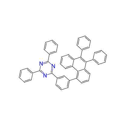 c1ccc(-c2nc(-c3ccccc3)nc(-c3cccc(-c4cccc5c(-c6ccccc6)c(-c6ccccc6)c6ccccc6c45)c3)n2)cc1